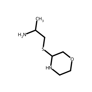 CC(N)CSC1COCCN1